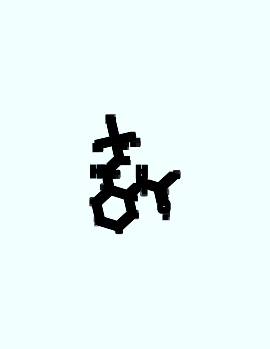 CC(=O)NC1CCCCC1NCC(C)(C)C